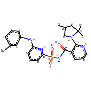 CC(=O)c1cccc(Nc2cccc(S(=O)(=O)NC(=O)c3cccnc3N3CC(C)CC3(C)C)n2)c1